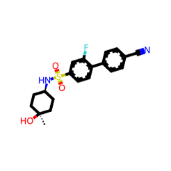 C[C@]1(O)CC[C@@H](NS(=O)(=O)c2ccc(-c3ccc(C#N)cc3)c(F)c2)CC1